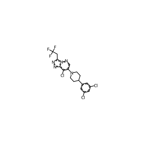 FC(F)(F)Cc1nnc2c(Cl)c(N3CCC(c4cc(Cl)cc(Cl)c4)CC3)cnn12